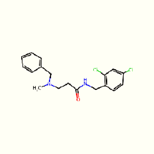 CN(CCC(=O)NCc1ccc(Cl)cc1Cl)Cc1ccccc1